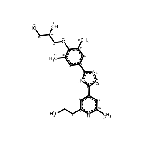 CCCc1cc(-c2nc(-c3cc(C)c(OC[C@H](O)CO)c(C)c3)no2)cc(C)n1